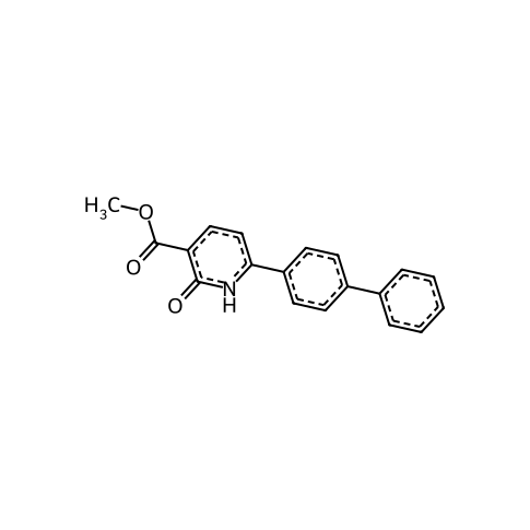 COC(=O)c1ccc(-c2ccc(-c3ccccc3)cc2)[nH]c1=O